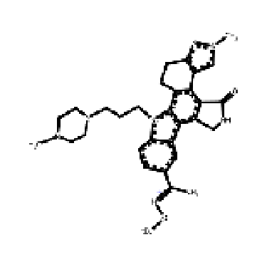 C/C(=N\OC(C)(C)C)c1ccc2c(c1)c1c3c(c4c(c1n2CCCN1CCN(C)CC1)CCc1nn(C)cc1-4)C(=O)NC3